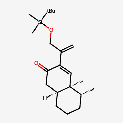 C=C(CO[Si](C)(C)C(C)(C)C)C1=C[C@]2(C)[C@@H](CCC[C@H]2C)CC1=O